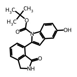 CC(C)(C)OC(=O)n1c(-c2cccc3c2C(=O)NC3)cc2cc(O)ccc21